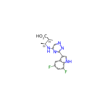 C[C@H](Nc1cnnc(-c2c[nH]c3c(F)cc(F)cc23)n1)[C@H](C)C(=O)O